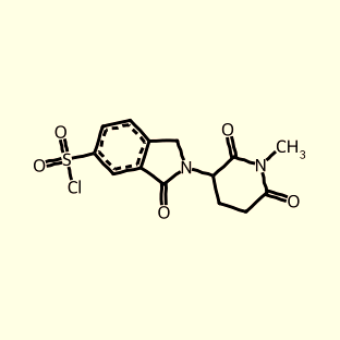 CN1C(=O)CCC(N2Cc3ccc(S(=O)(=O)Cl)cc3C2=O)C1=O